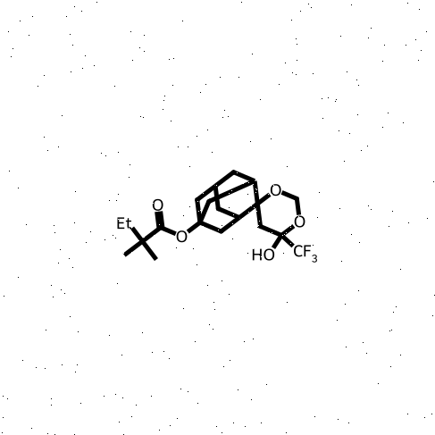 CCC(C)(C)C(=O)OC12CC3CC(C1)C1(CC(O)(C(F)(F)F)OCO1)C(C3)C2